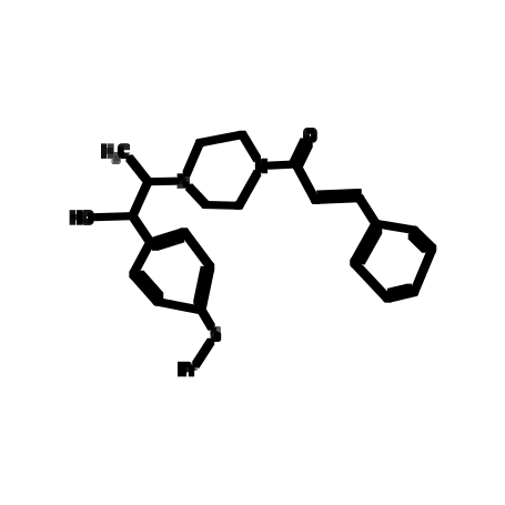 CC(C)Sc1ccc(C(O)C(C)N2CCN(C(=O)C=Cc3ccccc3)CC2)cc1